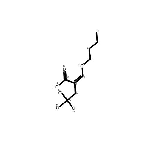 CCCCOC=C(CC(Cl)(Cl)Cl)C(=O)O